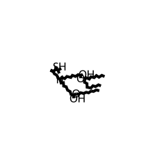 C=C(CCCN(CCCCCCCC(O)OCCCCCCCCC)CCCCCCCC(O)OC(CCCCCCCC)CCCCCCCC)C(S)C(C)C